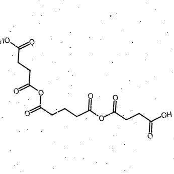 O=C(O)CCC(=O)OC(=O)CCCC(=O)OC(=O)CCC(=O)O